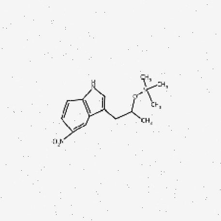 CC(Cc1c[nH]c2ccc([N+](=O)[O-])cc12)O[Si](C)(C)C